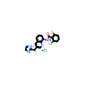 Cl.O=C(Nc1cccc2cc(C(=S)c3ncc[nH]3)cnc12)c1c(Cl)cccc1Cl